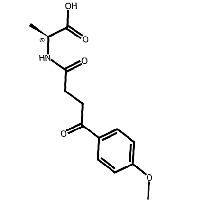 COc1ccc(C(=O)CCC(=O)N[C@@H](C)C(=O)O)cc1